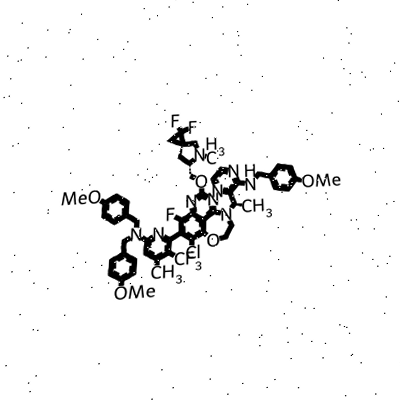 COc1ccc(CNc2nccnc2[C@@H](C)N2CCOc3c(Cl)c(-c4nc(N(Cc5ccc(OC)cc5)Cc5ccc(OC)cc5)cc(C)c4C(F)(F)F)c(F)c4nc(OC[C@@H]5C[C@@]6(CN5C)CC6(F)F)nc2c34)cc1